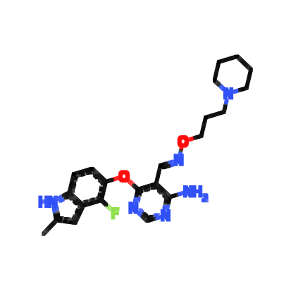 Cc1cc2c(F)c(Oc3ncnc(N)c3C=NOCCCN3CCCCC3)ccc2[nH]1